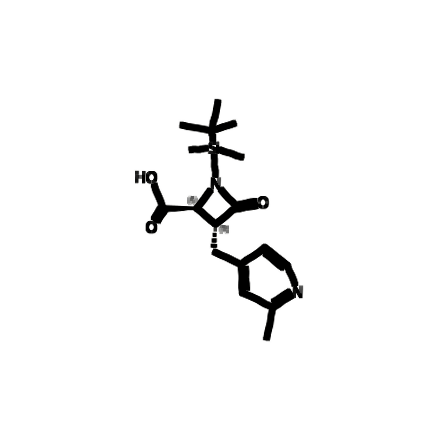 Cc1cc(C[C@H]2C(=O)N([Si](C)(C)C(C)(C)C)[C@@H]2C(=O)O)ccn1